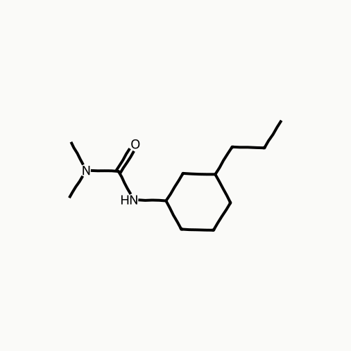 CCCC1CCCC(NC(=O)N(C)C)C1